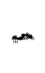 CC[C@@H](Oc1ncc(Cl)cc1Cl)C(=O)NCc1cccc(C(=O)N2CCN(CCNC(=O)NS(C)(=O)=O)CC2)c1